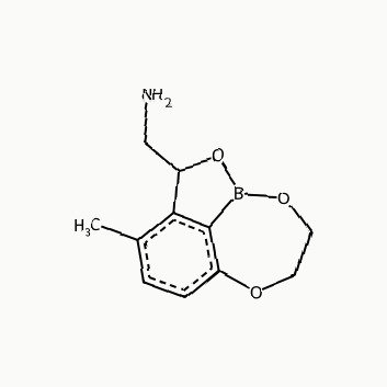 Cc1ccc2c3c1C(CN)OB3OCCO2